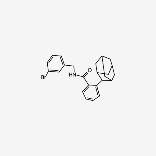 O=C(NCc1cccc(Br)c1)c1ccccc1C1C2CC3CC(C2)CC1C3